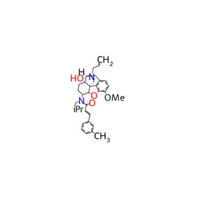 C=CCN1CC[C@]23c4c5ccc(OC)c4OC2C(N(CC(C)C)C(=O)/C=C/c2cccc(C)c2)CC[C@@]3(O)[C@H]1C5